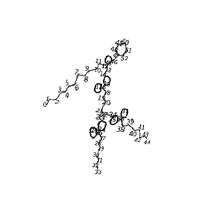 CCCCCCCCCCCCC(CCOC(=O)CCCCC(COC(=O)CCCCCCC)COC(=O)CCCCCCC)OCc1ccccc1